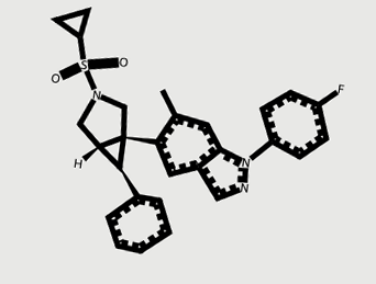 Cc1cc2c(cnn2-c2ccc(F)cc2)cc1[C@]12CN(S(=O)(=O)C3CC3)C[C@H]1[C@@H]2c1ccccc1